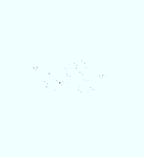 COc1ncnc(OC)c1-n1c(NS(=O)(=O)[C@@H](C)[C@H](OC)c2ncc(Cl)cn2)nnc1[C@@H]1CC[C@H]1C